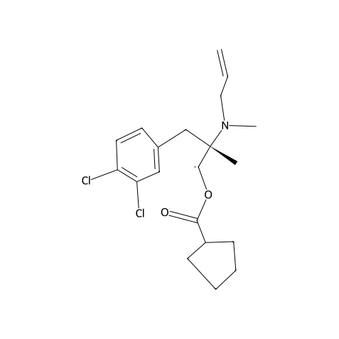 C=CCN(C)[C@](C)([CH]OC(=O)C1CCCC1)Cc1ccc(Cl)c(Cl)c1